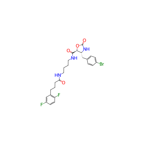 O=C(CCCc1cc(F)ccc1F)NCCCCNC(=O)[C@H]1OC(=O)N[C@@H]1Cc1ccc(Br)cc1